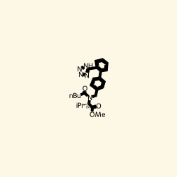 CCCCC(=O)N(Cc1ccc(-c2ccccc2-c2nnn[nH]2)cc1)[C@H](C(=O)OC)C(C)C